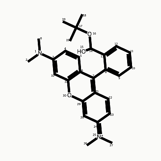 CN(C)c1ccc2c(-c3ccccc3C(O)OC(C)(C)C)c3ccc(=[N+](C)C)cc-3oc2c1